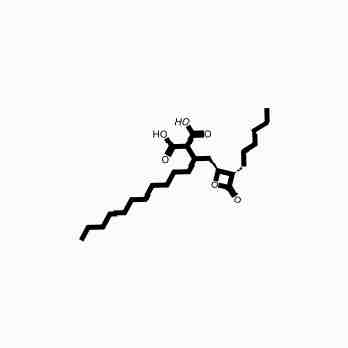 CCCCCCCCCCCC(C[C@@H]1OC(=O)[C@H]1CCCCCC)C(C(=O)O)C(=O)O